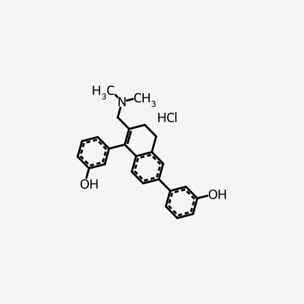 CN(C)CC1=C(c2cccc(O)c2)c2ccc(-c3cccc(O)c3)cc2CC1.Cl